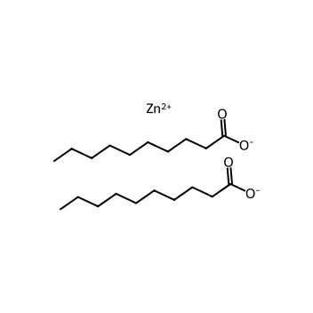 CCCCCCCCCC(=O)[O-].CCCCCCCCCC(=O)[O-].[Zn+2]